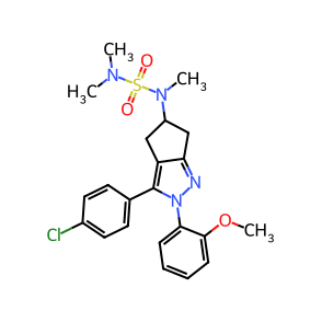 COc1ccccc1-n1nc2c(c1-c1ccc(Cl)cc1)CC(N(C)S(=O)(=O)N(C)C)C2